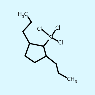 CCCC1CCC(CCC)C1[Si](Cl)(Cl)Cl